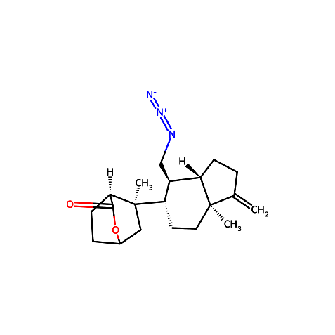 C=C1CC[C@H]2[C@H](CN=[N+]=[N-])[C@@H]([C@@]3(C)CC4CC[C@@H]3C(=O)O4)CC[C@]12C